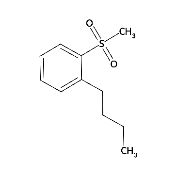 CCCCc1ccccc1S(C)(=O)=O